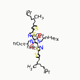 CCCCCCCCC(CCCCCC)CN1C(=O)C2=C(c3ncc(-c4cc(CCC(C)CCCC(C)C)cs4)s3)N(CC(CCCCCC)CCCCCCCC)C(=O)C2=C1c1ncc(-c2cc(CCC(C)CCCC(C)C)cs2)s1